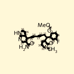 COCOc1ccc(F)cc1C(CC#CC#Cc1c(C(N)=O)cnc2[nH]ccc12)c1cccn(C)c1=O